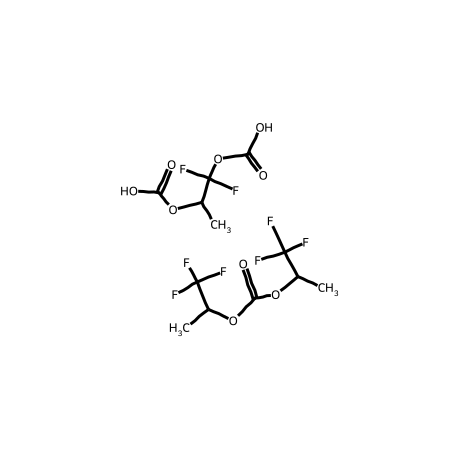 CC(OC(=O)O)C(F)(F)OC(=O)O.CC(OC(=O)OC(C)C(F)(F)F)C(F)(F)F